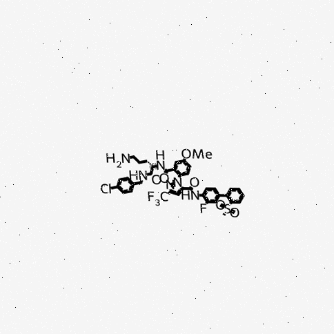 COc1ccc(-n2nc(C(F)(F)F)cc2C(=O)Nc2ccc(-c3ccccc3S(C)(=O)=O)cc2F)c(C(=O)N[C@@H](CCCN)C(=O)NCc2ccc(Cl)cc2)c1